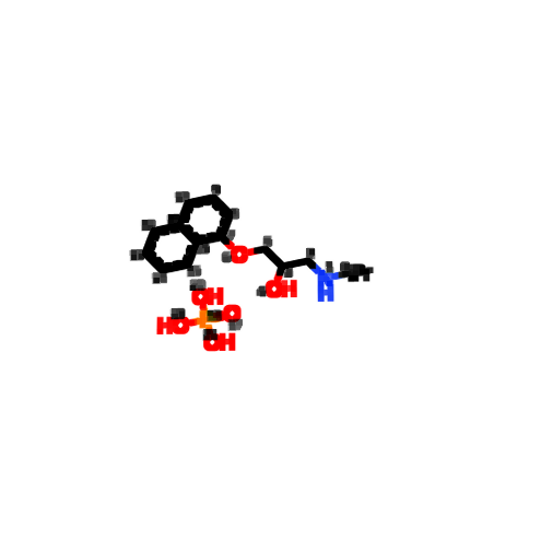 CC(C)NCC(O)COc1cccc2ccccc12.O=P(O)(O)O